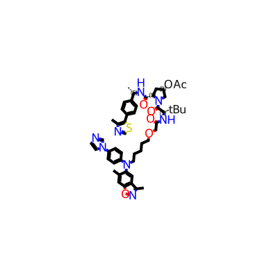 CC(=O)O[C@@H]1C[C@@H](C(=O)N[C@@H](C)c2ccc(-c3scnc3C)cc2)N(C(=O)[C@@H](NC(=O)COCCCCCN(c2ccc(-n3ccnc3)cc2)c2cc3c(C)noc3cc2C)C(C)(C)C)C1